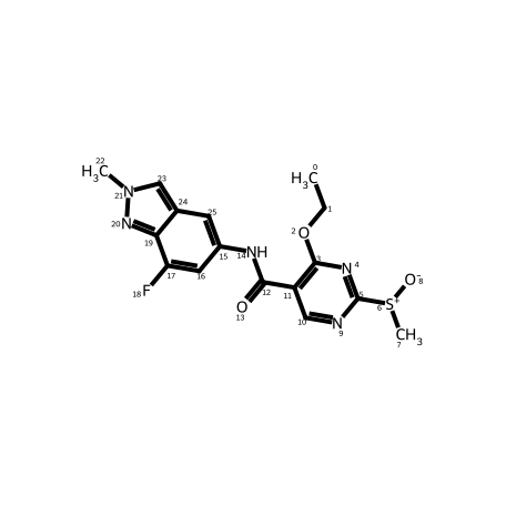 CCOc1nc([S+](C)[O-])ncc1C(=O)Nc1cc(F)c2nn(C)cc2c1